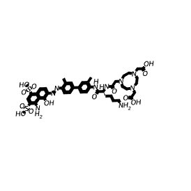 Cc1cc(-c2ccc(NC(=O)[C@@H](CCCCN)NC(=O)CN3CCN(CC(=O)O)CCN(CC(=O)O)CC3)c(C)c2)ccc1/N=N/c1ccc2c(S(=O)(=O)O)cc(S(=O)(=O)O)c(N)c2c1O